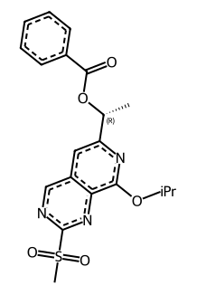 CC(C)Oc1nc([C@@H](C)OC(=O)c2ccccc2)cc2cnc(S(C)(=O)=O)nc12